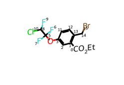 CCOC(=O)c1cc(OC(F)(F)C(F)Cl)ccc1CBr